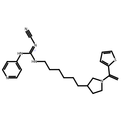 C=C(c1cccs1)N1CCC(CCCCCCN/C(=N/C#N)Nc2ccncc2)C1